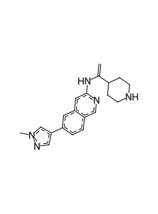 C=C(Nc1cc2cc(-c3cnn(C)c3)ccc2cn1)C1CCNCC1